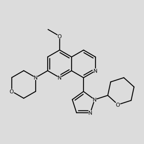 COc1cc(N2CCOCC2)nc2c(-c3ccnn3C3CCCCO3)nccc12